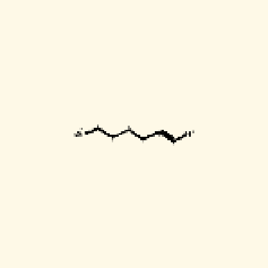 [2H]/C=C/CCCCCCCC